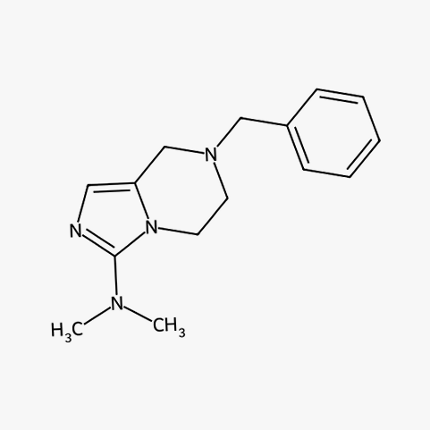 CN(C)c1ncc2n1CCN(Cc1ccccc1)C2